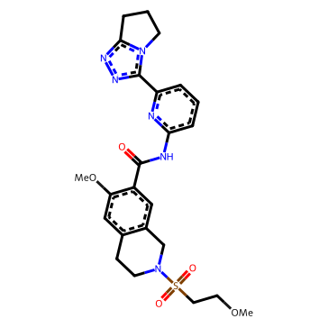 COCCS(=O)(=O)N1CCc2cc(OC)c(C(=O)Nc3cccc(-c4nnc5n4CCC5)n3)cc2C1